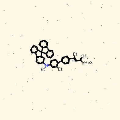 C=C(/C=C(\CC)c1ccc(-c2ccc(N(CC)c3ccc4c(c3)C3(c5ccccc5-c5ccccc53)c3ccccc3-4)cc2CC)cc1)CCCCCC